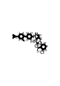 Cc1cc(C2CC2)ccc1-c1ccc(-n2ncc(F)c2NC(=O)O[C@H](C)c2ccccc2Cl)cc1